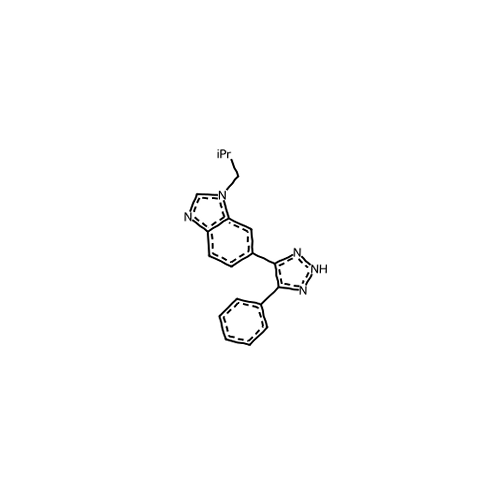 CC(C)Cn1cnc2ccc(-c3n[nH]nc3-c3ccccc3)cc21